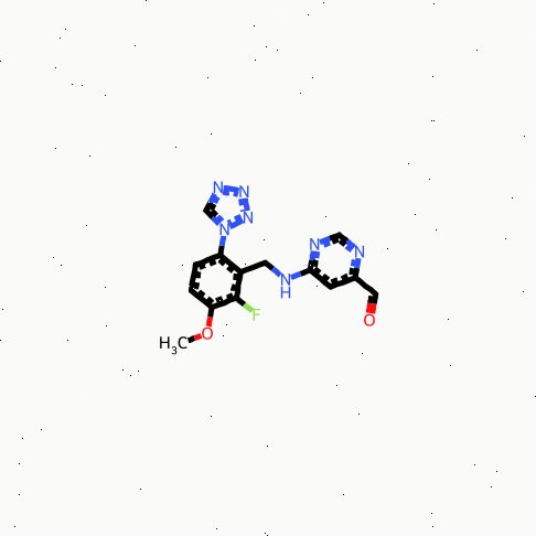 COc1ccc(-n2cnnn2)c(CNc2cc(C=O)ncn2)c1F